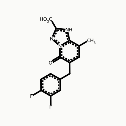 Cc1cc(Cc2ccc(F)c(F)c2)c(=O)n2nc(C(=O)O)[nH]c12